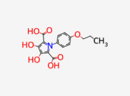 CCCOc1ccc(-n2c(C(=O)O)c(O)c(O)c2C(=O)O)cc1